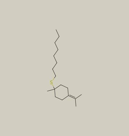 CCCCCCCCSC1(C)CCC(=C(C)C)CC1